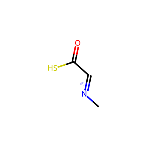 C/N=C/C(=O)S